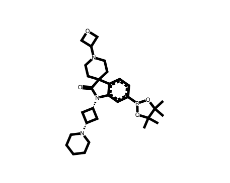 CC1(C)OB(c2ccc3c(c2)N([C@H]2C[C@@H](N4CCCCC4)C2)C(=O)C32CCN(C3COC3)CC2)OC1(C)C